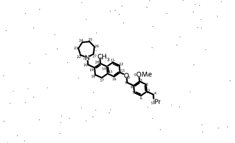 COc1cc(CC(C)C)ccc1COc1ccc2c(c1)CCC(CN1CCCCCC1)=C2C